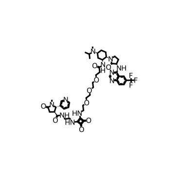 CC(C)N(C)[C@@H]1CC[C@H](N2CC[C@H](Nc3ncnc4ccc(C(F)(F)F)cc34)C2=O)[C@H](NC(=O)CCOCCOCCOCCNc2c(NCCNC(=O)[C@H]3CC(=O)N(C)[C@@H]3c3cccnc3)c(=O)c2=O)C1